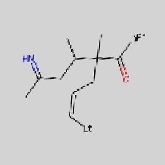 CC/C=C\CC(C)(C(=O)CCC)C(C)CC(C)=N